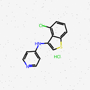 Cl.Clc1cccc2scc(Nc3ccncc3)c12